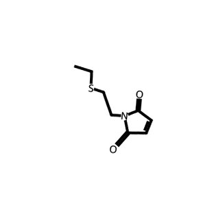 CCSCCN1C(=O)C=CC1=O